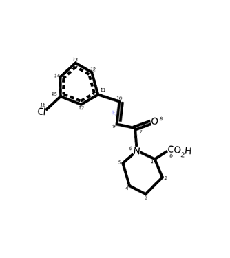 O=C(O)C1CCCCN1C(=O)/C=C/c1cc[c]c(Cl)c1